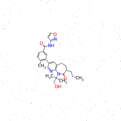 CCCC1CCc2cc(-c3cc(C(=O)Nc4ccon4)ccc3C)cnc2N(C(C)(C)CO)C1=O